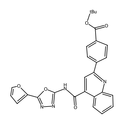 CC(C)(C)OC(=O)c1ccc(-c2cc(C(=O)Nc3nnc(-c4ccco4)o3)c3ccccc3n2)cc1